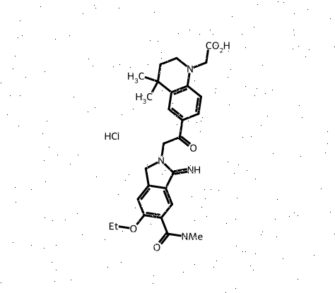 CCOc1cc2c(cc1C(=O)NC)C(=N)N(CC(=O)c1ccc3c(c1)C(C)(C)CCN3CC(=O)O)C2.Cl